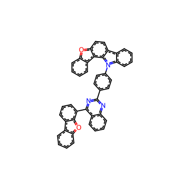 c1ccc2c(-c3cccc4c3oc3ccccc34)nc(-c3ccc(-n4c5ccccc5c5ccc6oc7ccccc7c6c54)cc3)nc2c1